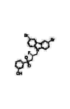 O=S(=O)(CC(F)Cn1c2ccc(Br)cc2c2cc(Br)ccc21)c1cccc(O)c1